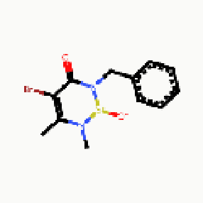 CC1=C(Br)C(=O)N(Cc2ccccc2)[S+]([O-])N1C